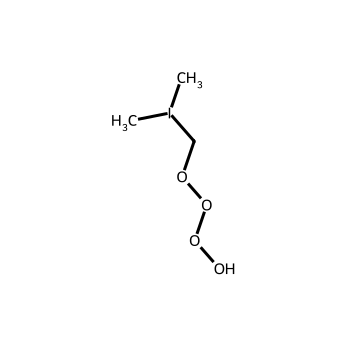 CI(C)COOOO